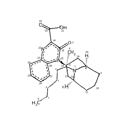 CCCCC[C@H](C)N1[C@@H]2CCC[C@H]1C[C@@H](n1c(=O)c(C(=O)O)nc3ccccc31)C2